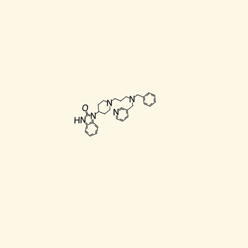 O=c1[nH]c2ccccc2n1C1CCN(CCCN(Cc2ccccc2)Cc2cccnc2)CC1